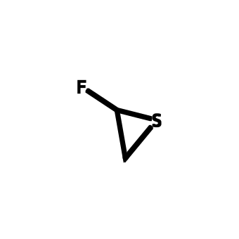 FC1CS1